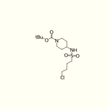 CC(C)(C)OC(=O)N1CCC(NS(=O)(=O)CCCCCl)CC1